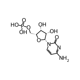 Nc1ccn([C@@H]2O[C@H](COP(=O)(O)O)[C@H](O)[C@@H]2O)c(=O)n1